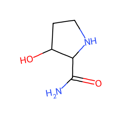 NC(=O)C1NCCC1O